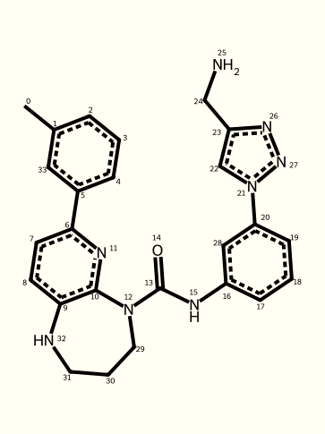 Cc1cccc(-c2ccc3c(n2)N(C(=O)Nc2cccc(-n4cc(CN)nn4)c2)CCCN3)c1